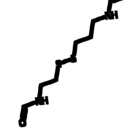 O=CNCCCSSCCNC=O